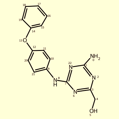 Nc1nc(CO)nc(Nc2ccc(Oc3ccccc3)cc2)n1